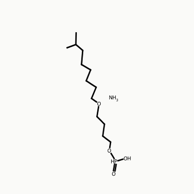 CC(C)CCCCCCOCCCCO[PH](=O)O.N